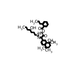 C=CCc1ccccc1C(=O)ONC(=O)C(=NOCCCC(O)CCC)c1ccc2c(c1)C(C)(C)CCC2(C)C